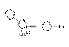 CCCCc1ccc(C#CC2(CC)C=CC(c3ccccc3)=CC2C)cc1